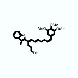 COc1cc(/C=C\CC/C=C/C=C(\CCCO)c2sc3ccccc3c2C)cc(OC)c1OC